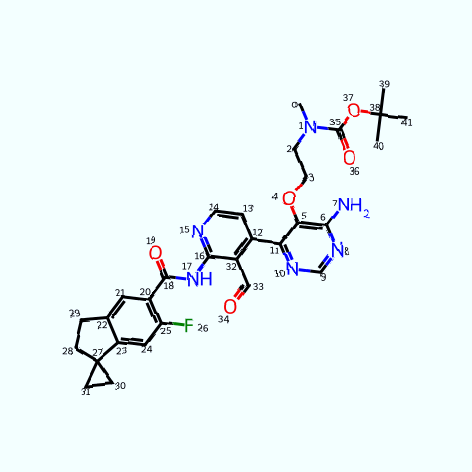 CN(CCOc1c(N)ncnc1-c1ccnc(NC(=O)c2cc3c(cc2F)C2(CC3)CC2)c1C=O)C(=O)OC(C)(C)C